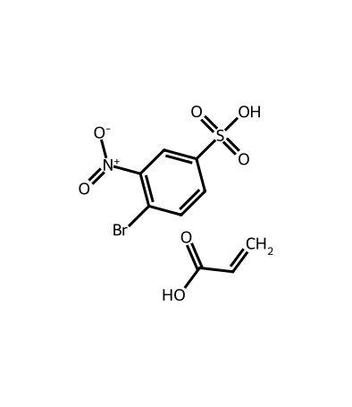 C=CC(=O)O.O=[N+]([O-])c1cc(S(=O)(=O)O)ccc1Br